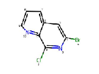 Clc1nc(Br)cc2cccnc12